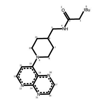 CC(C)(C)CC(=O)NCC1CCN(c2ccnc3nccnc23)CC1